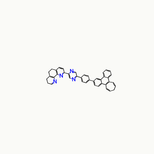 C1=Cc2c(c3ccc(-c4ccc(-c5cnc(-c6ccc7c(n6)C6=C(CCC=N6)CC7)cn5)cc4)cc3c3ccccc23)C=CC1